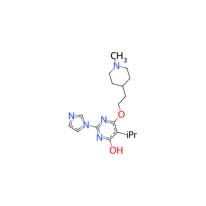 CC(C)c1c(O)nc(-n2ccnc2)nc1OCCC1CCN(C)CC1